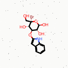 OC[C@@]1(Br)O[C@@H](O)[C@H](O)[C@@H](Oc2cc3ccccc3[nH]2)[C@@H]1O